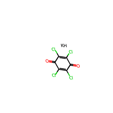 O=C1C(Cl)=C(Cl)C(=O)C(Cl)=C1Cl.[KH]